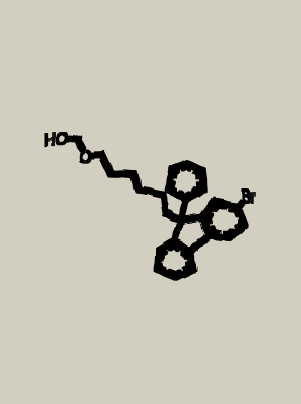 OCOCCCCCCC1(c2ccccc2)c2ccccc2-c2ccc(Br)cc21